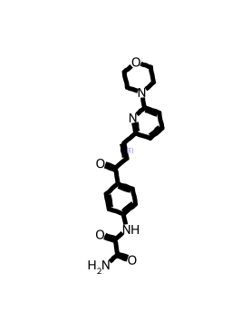 NC(=O)C(=O)Nc1ccc(C(=O)/C=C/c2cccc(N3CCOCC3)n2)cc1